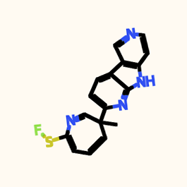 CC1(c2ccc3c(n2)[nH]c2ccncc23)C=CC=C(SF)N=C1